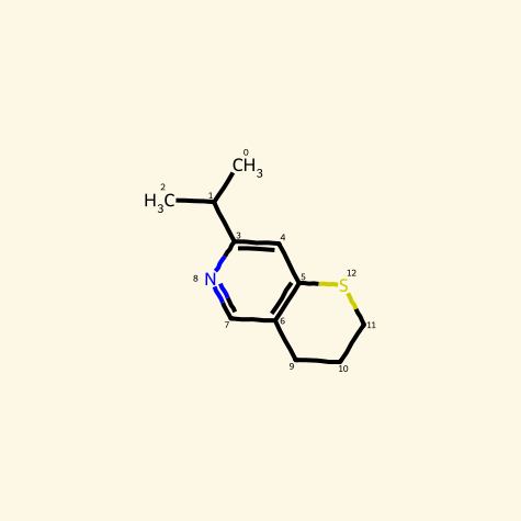 CC(C)c1cc2c(cn1)CCCS2